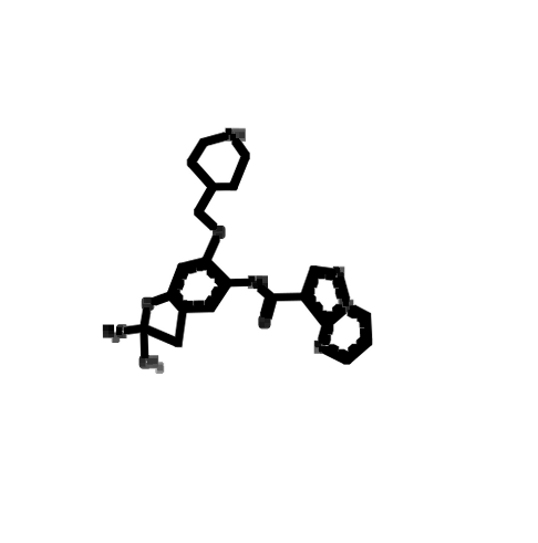 CC1(C)Cc2cc(NC(=O)c3cnn4cccnc34)c(OCC3CCNCC3)cc2O1